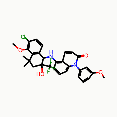 COc1cccc(-n2c(=O)ccc3c(NC4c5ccc(Cl)c(OC)c5C(C)(C)CC4(O)C(F)(F)F)cccc32)c1